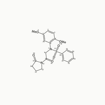 COc1ccc(OC)c(N(CC(=O)N2CCCC2=O)S(=O)(=O)c2ccccc2)c1